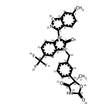 Cc1ccc2c(-n3c(=O)n(Cc4cccc([C@@]5(C)OC(=O)NC5=O)c4)c4cc(C(F)(F)F)ccc43)noc2c1